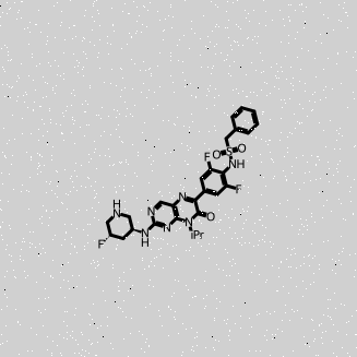 CC(C)n1c(=O)c(-c2cc(F)c(NS(=O)(=O)Cc3ccccc3)c(F)c2)nc2cnc(N[C@@H]3CNC[C@@H](F)C3)nc21